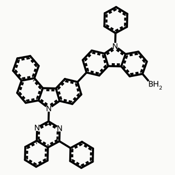 Bc1ccc2c(c1)c1cc(-c3ccc4c(c3)c3c5ccccc5ccc3n4-c3nc(-c4ccccc4)c4ccccc4n3)ccc1n2-c1ccccc1